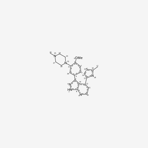 COc1ccc(-c2n[nH]c3nccc(-c4csc(C)n4)c23)cc1N1CCN(C)CC1